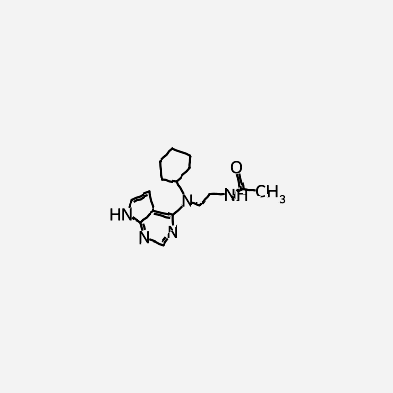 CC(=O)NCCN(c1ncnc2[nH]ccc12)C1CCCCC1